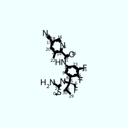 CS/C(N)=N\[C@](CF)(c1cc(NC(=O)c2ncc(C#N)cc2C)cc(F)c1F)C(C)C